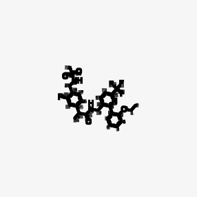 CCOc1ccccc1-c1nc(C(F)(F)F)ccc1CNC(=O)C(C)c1ccc(CNS(C)(=O)=O)c(F)c1